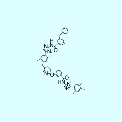 Cc1cc(C)c(-c2cnc(NC(=O)c3cccc(Oc4ccc(Cc5cc(C)c(-c6cnc(NC(=O)c7cccc(Cc8ccccc8)c7)n6C)cc5C)cn4)c3)n2C)cc1C